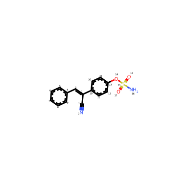 N#CC(=Cc1ccccc1)c1ccc(OS(N)(=O)=O)cc1